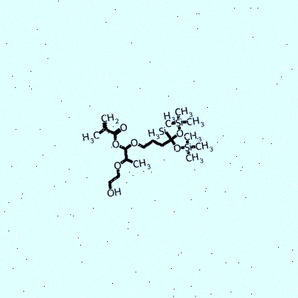 C=C(C)C(=O)OC(OCCCC([SiH3])(O[Si](C)(C)C)O[Si](C)(C)C)C(C)OCCO